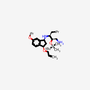 C=CCO[C@@H]1C[C@H](N[C@@H](CC(C)C)[C@@H](CN)O[Si](C)(C)C(C)(C)C)c2cc(OC(C)C)ccc21